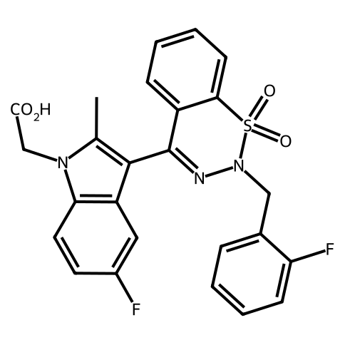 Cc1c(C2=NN(Cc3ccccc3F)S(=O)(=O)c3ccccc32)c2cc(F)ccc2n1CC(=O)O